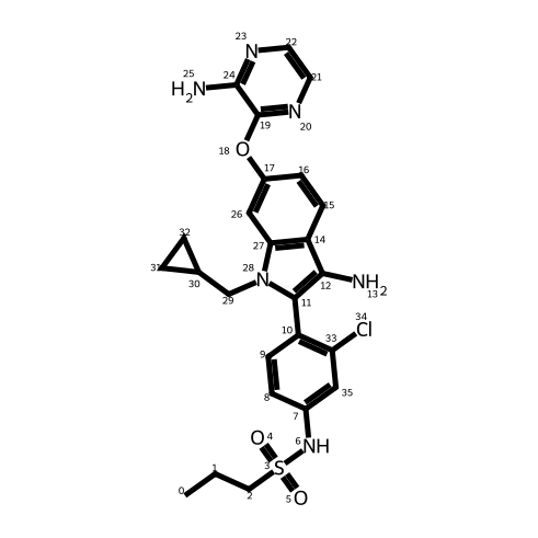 CCCS(=O)(=O)Nc1ccc(-c2c(N)c3ccc(Oc4nccnc4N)cc3n2CC2CC2)c(Cl)c1